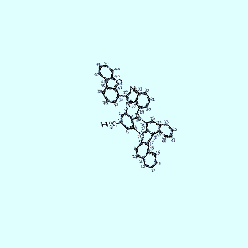 Cc1cc2c3c(c1)-n1c4ccc5ccccc5c4c4c5ccccc5cc(c41)B3c1cccc3nc(-c4cccc5c4oc4ccccc45)n-2c13